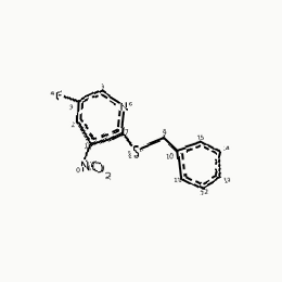 O=[N+]([O-])c1cc(F)cnc1SCc1ccccc1